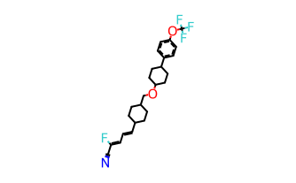 N#CC(F)=CC=CC1CCC(COC2CCC(c3ccc(OC(F)(F)F)cc3)CC2)CC1